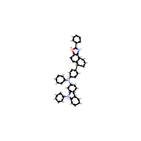 c1ccc(-c2nc3c(ccc4c(-c5ccc(N(c6ccccc6)c6ccc7c8ccccc8n(-c8ccccc8)c7c6)cc5)cccc43)o2)cc1